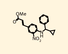 COC(=O)/C=C/c1ccc(NC(c2ccccc2)C2CC2)c([N+](=O)[O-])c1